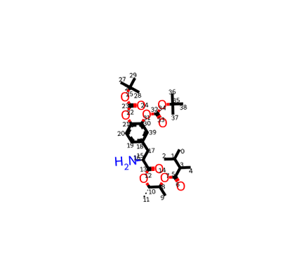 CC(C)C(C)C(=O)OC(C)[C@H](C)OC(=O)[C@@H](N)Cc1ccc(OC(=O)OC(C)(C)C)c(OC(=O)OC(C)(C)C)c1